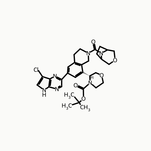 CC(C)(C)OC(=O)N1CCOC[C@H]1c1cc(-c2cnc3[nH]cc(Cl)c3n2)cc2c1CN(C(=O)N1C3CCC1COC3)CC2